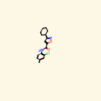 Cc1ccc(NC(=O)c2cc(C3CCCCC3)no2)c(Cl)c1